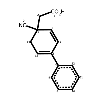 N#CC1(CC(=O)O)C=CC(c2ccccc2)=CC1